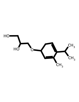 CC1=CC(OCC(O)CO)CC=C1C(C)C